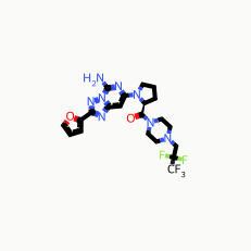 Nc1nc(N2CCC[C@H]2C(=O)N2CCN(CC(F)(F)C(F)(F)F)CC2)cc2nc(-c3ccco3)nn12